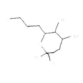 CC1C(O)CC(C)(O)OC1CCCO